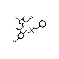 Cn1c(C(C)(C)C)c/c(=N\C(=O)c2cc(C(F)(F)F)ccc2OCC(C)(C)OCc2ccccc2)n1CC1CC1